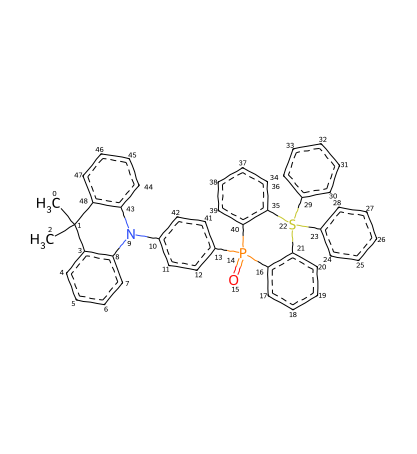 CC1(C)c2ccccc2N(c2ccc(P3(=O)c4ccccc4S(c4ccccc4)(c4ccccc4)c4ccccc43)cc2)c2ccccc21